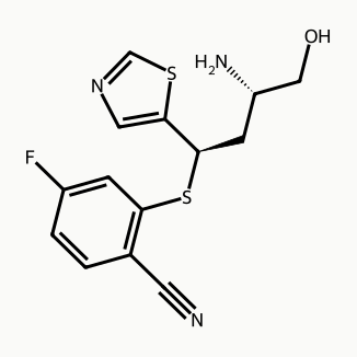 N#Cc1ccc(F)cc1S[C@H](C[C@H](N)CO)c1cncs1